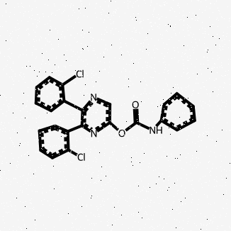 O=C(Nc1ccccc1)Oc1cnc(-c2ccccc2Cl)c(-c2ccccc2Cl)n1